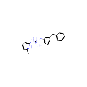 Cc1cccc(NC(=N)Nc2cccc(Cc3ccccc3)c2)n1